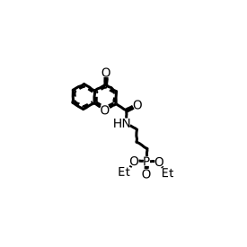 CCOP(=O)(CCCNC(=O)c1cc(=O)c2ccccc2o1)OCC